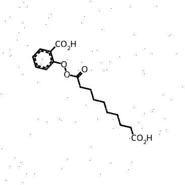 O=C(O)CCCCCCCCC(=O)OOc1ccccc1C(=O)O